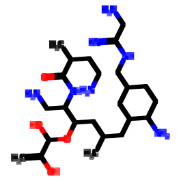 C=C(O)C(O)OC(CC(C)CC1CC(CNC(=N)CN)CCC1N)C(CN)NC(=O)C(C)CCN